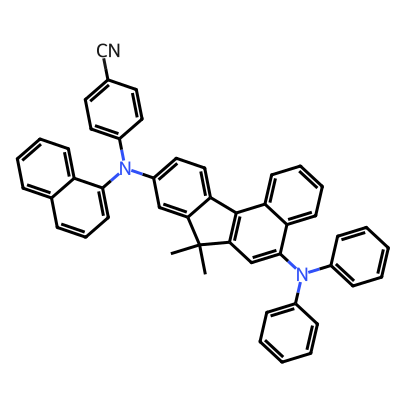 CC1(C)c2cc(N(c3ccc(C#N)cc3)c3cccc4ccccc34)ccc2-c2c1cc(N(c1ccccc1)c1ccccc1)c1ccccc21